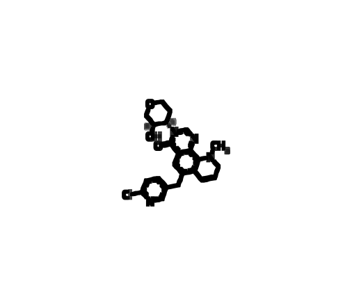 CN1CC=Cc2c(Cc3ccc(Cl)nc3)cc3c(=O)n([C@H]4CCOC[C@@H]4O)cnc3c21